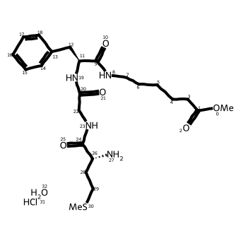 COC(=O)CCCCCNC(=O)[C@H](Cc1ccccc1)NC(=O)CNC(=O)[C@H](N)CCSC.Cl.O